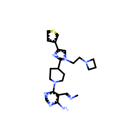 C/N=C/c1c(N)ncnc1N1CCC(c2nc(-c3ccsc3)cn2CCN2CCC2)CC1